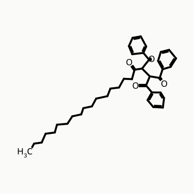 CCCCCCCCCCCCCCCCCC(=O)C(C(=O)c1ccccc1)C(C(=O)c1ccccc1)C(=O)c1ccccc1